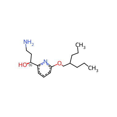 CCCC(CCC)COc1cccc([C@@H](O)CCN)n1